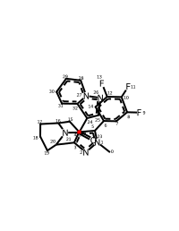 Cn1nc2c(c1-c1cc(F)c(F)c(F)c1)CC1CCCC2N1C(=O)c1cnn2ccccc12